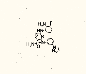 NC(=O)c1cnc(N[C@@H]2CCC[C@H](F)[C@@H]2N)nc1Nc1cccc(-n2cccn2)c1